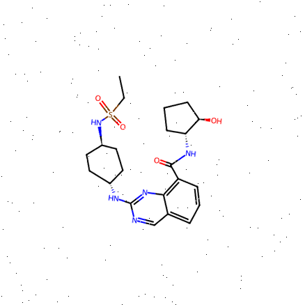 CCS(=O)(=O)N[C@H]1CC[C@H](Nc2ncc3cccc(C(=O)N[C@@H]4CCC[C@H]4O)c3n2)CC1